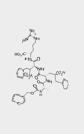 C[C@H](NC(=O)OCc1ccccc1)C(=O)N[C@@H](CC(Cc1ccccc1)C(=O)O)C(=O)N[C@H](C(=O)N[C@@H](CCCNC(=N)N)C(=O)O)C(Cc1ccccc1)C(=O)O